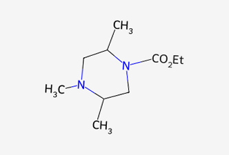 CCOC(=O)N1CC(C)N(C)CC1C